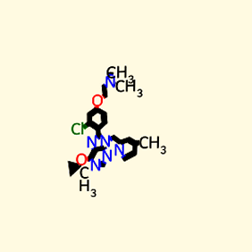 Cc1ccnc(Cn2c(-c3ccc(OCCN(C)C)cc3Cl)nc3c(OC4(C)CC4)ncnc32)c1